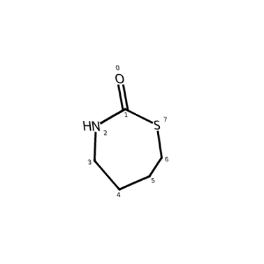 O=C1NCCCCS1